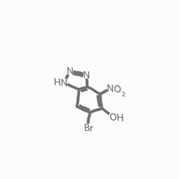 O=[N+]([O-])c1c(O)c(Br)cc2[nH]nnc12